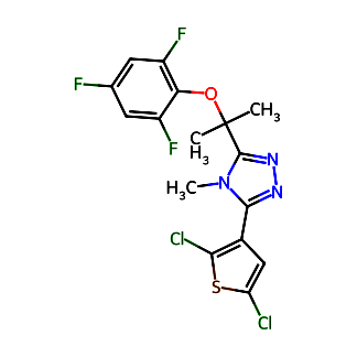 Cn1c(-c2cc(Cl)sc2Cl)nnc1C(C)(C)Oc1c(F)cc(F)cc1F